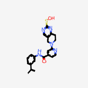 CC(C)c1cccc(NC(=O)c2ccnc(N3CCc4nc(SO)ncc4C3)c2)c1